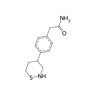 NC(=O)Cc1ccc(C2CCSNC2)cc1